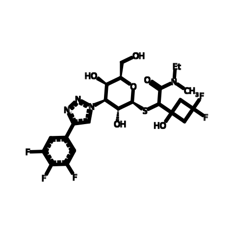 CCN(C)C(=O)C(S[C@@H]1O[C@H](CO)[C@H](O)[C@H](n2cc(-c3cc(F)c(F)c(F)c3)nn2)[C@H]1O)C1(O)CC(F)(F)C1